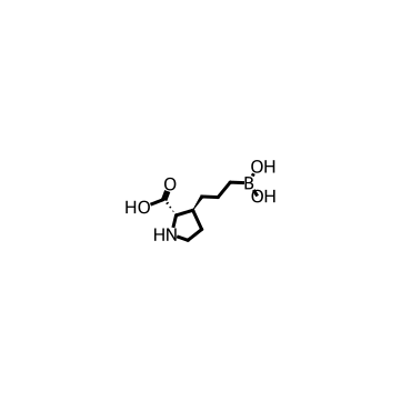 O=C(O)[C@H]1NCC[C@@H]1CCCB(O)O